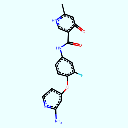 Cc1cc(=O)c(C(=O)Nc2ccc(Oc3ccnc(N)c3)c(F)c2)c[nH]1